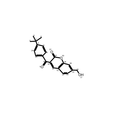 CC(C)(C)c1ccc(C(=O)c2cc3ccc(CO)cc3oc2=O)cc1